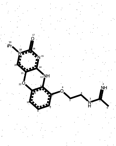 CC(=N)NCCOc1cccc2c1Nc1nc(=O)n(C(C)C)cc1O2